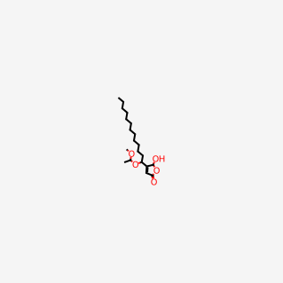 CCCCCCCCCCCCC(OC(C)OC)C1=CC(=O)OC1O